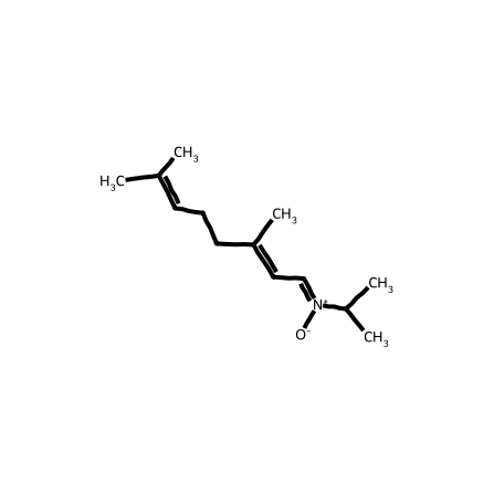 CC(C)=CCC/C(C)=C/C=[N+](\[O-])C(C)C